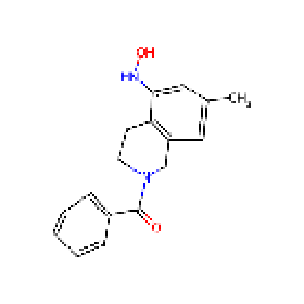 Cc1cc2c(c(NO)c1)CCN(C(=O)c1ccccc1)C2